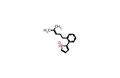 CC(C)=CCCc1ccccc1C1=CC=C[PH]1=O